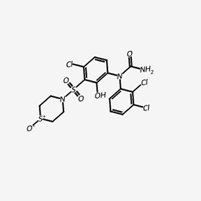 NC(=O)N(c1ccc(Cl)c(S(=O)(=O)N2CC[S+]([O-])CC2)c1O)c1cccc(Cl)c1Cl